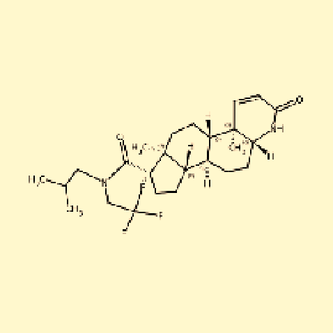 CC(C)CN(CC(F)(F)F)C(=O)[C@H]1CC[C@H]2[C@@H]3CC[C@H]4NC(=O)C=C[C@]4(C)[C@H]3CC[C@]12C